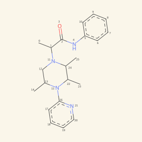 CC(C(=O)Nc1ccccc1)N1CC(C)N(c2ccccn2)C(C)C1C